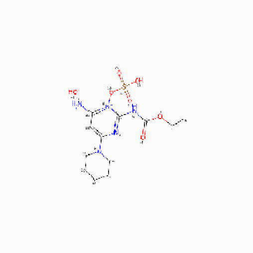 CCOC(=O)Nc1nc(N2CCCCC2)cc(N)[n+]1OS(=O)(=O)O.[OH-]